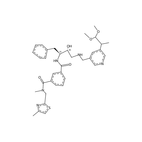 COC(OC)C(C)c1cncc(CNC[C@@H](O)[C@H](Cc2ccccc2)NC(=O)c2cccc(C(=O)N(C)Cc3nc(C)cs3)c2)c1